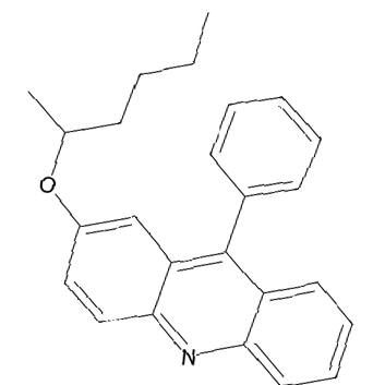 CCCCC(C)Oc1ccc2nc3ccccc3c(-c3ccccc3)c2c1